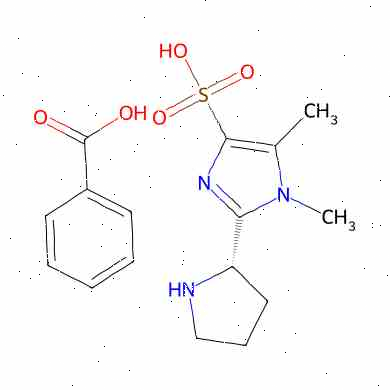 Cc1c(S(=O)(=O)O)nc([C@@H]2CCCN2)n1C.O=C(O)c1ccccc1